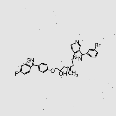 CN(CCn1nc(-c2cccc(Br)c2)c2cnccc21)C[C@@H](O)COc1ccc(-c2noc3cc(F)ccc23)cc1